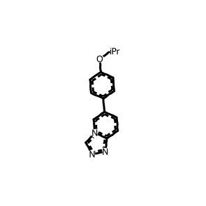 CC(C)Oc1ccc(-c2ccc3nncn3c2)cc1